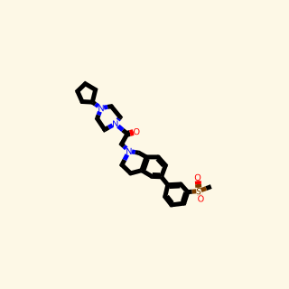 CS(=O)(=O)c1cccc(-c2ccc3c(c2)CCN(CC(=O)N2CCN(C4CCCC4)CC2)C3)c1